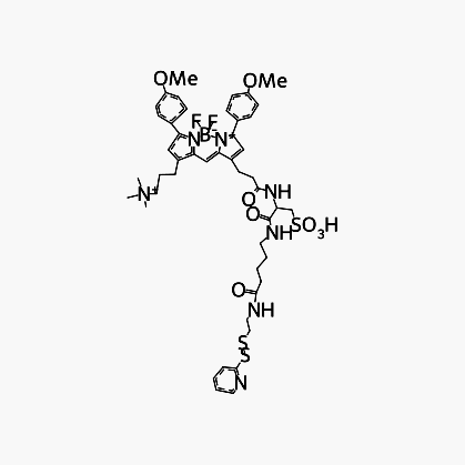 COc1ccc(C2=[N+]3C(=Cc4c(CCC[N+](C)(C)C)cc(-c5ccc(OC)cc5)n4[B-]3(F)F)C(CCC(=O)NC(CS(=O)(=O)O)C(=O)NCCCCC(=O)NCCSSc3ccccn3)=C2)cc1